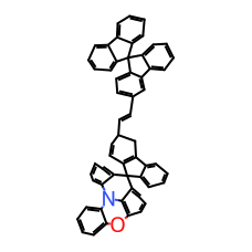 C1=CC(/C=C/c2ccc3c(c2)-c2ccccc2C32c3ccccc3-c3ccccc32)CC2=C1C1(c3ccccc32)c2ccccc2N2c3ccccc3Oc3cccc1c32